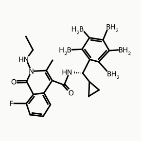 Bc1c(B)c(B)c([C@@H](NC(=O)c2c(C)n(NCC)c(=O)c3c(F)cccc23)C2CC2)c(B)c1B